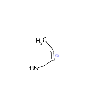 C/C=C\[NH]